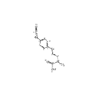 CN(CCOc1ccc(N=C=O)cc1)C(=O)O